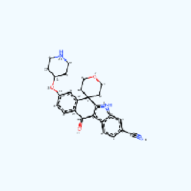 N#Cc1ccc2c3c([nH]c2c1)C1(CCOCC1)c1cc(OC2CCNCC2)ccc1C3=O